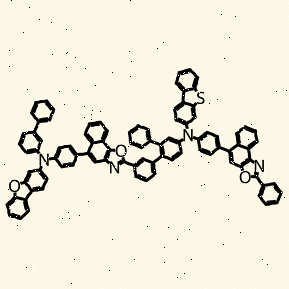 c1ccc(-c2cccc(N(c3ccc(-c4cc5nc(-c6cccc(-c7ccc(N(c8ccc(-c9cc%10oc(-c%11ccccc%11)nc%10c%10ccccc9%10)cc8)c8ccc9c(c8)sc8ccccc89)cc7-c7ccccc7)c6)oc5c5ccccc45)cc3)c3ccc4c(c3)oc3ccccc34)c2)cc1